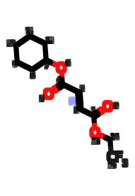 O=C(/C=C/C(=O)OC1CCCCC1)OCC(F)(F)F